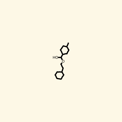 CC1CCC(C(O)OCCC2CCCCC2)CC1